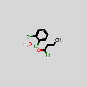 CCCC(=O)Cl.Clc1ccccc1Cl.O